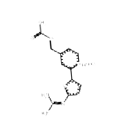 CC(=O)NCc1ccnc(-c2csc(N=C(N)N)n2)c1.Cl.Cl